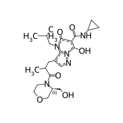 CC(C)Cn1c(=O)c(C(=O)NC2CC2)c(O)n2ncc(CC(C)C(=O)N3CCOC[C@@H]3CO)c12